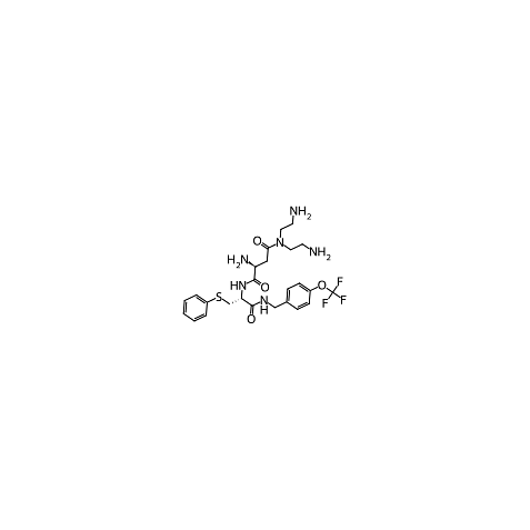 NCCN(CCN)C(=O)C[C@H](N)C(=O)N[C@@H](CSc1ccccc1)C(=O)NCc1ccc(OC(F)(F)F)cc1